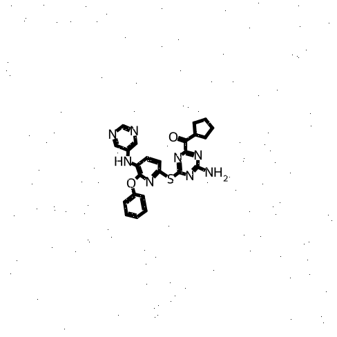 Nc1nc(Sc2ccc(Nc3cncnc3)c(Oc3ccccc3)n2)nc(C(=O)C2CCCC2)n1